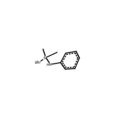 CC(C)(C)[Si](C)(C)Nc1ccccc1